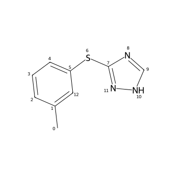 Cc1cccc(Sc2nc[nH]n2)c1